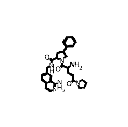 Nc1nccc2ccc(CNC(=O)C3CC(c4ccccc4)CN3C(=O)C(N)CCC(=O)N3CCCC3)cc12